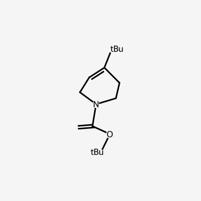 C=C(OC(C)(C)C)N1CC=C(C(C)(C)C)CC1